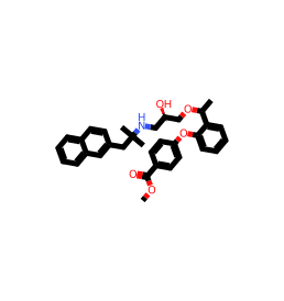 COC(=O)c1ccc(Oc2ccccc2C(C)OC[C@H](O)CNC(C)(C)Cc2ccc3ccccc3c2)cc1